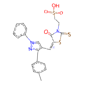 Cc1ccc(-c2nn(-c3ccccc3)cc2/C=C2/SC(=S)N(CCS(=O)(=O)O)C2=O)cc1